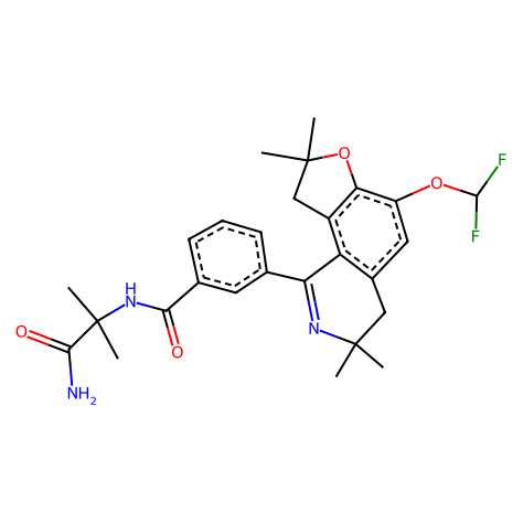 CC1(C)Cc2cc(OC(F)F)c3c(c2C(c2cccc(C(=O)NC(C)(C)C(N)=O)c2)=N1)CC(C)(C)O3